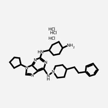 Cl.Cl.Cl.NC1CCC(Nc2nc(NN3CCC(CCc4ccccc4)CC3)c3ncn(C4CCCC4)c3n2)CC1